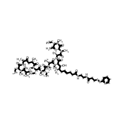 CC[C@H](NC(=O)[C@H]([C@H](O)[C@H](C)C/C=C/CCC(=O)NCCNC(=O)CCSSc1ccccn1)N(C)C(=O)[C@H](C(C)C)N(C)C(=O)[C@H](CC(C)C)N(C)C(=O)[C@H](CC(C)C)N(C)C(=O)[C@@H](C)CC(=O)[C@H](C)NC(=O)[C@H](CC(C)C)N(C)C(=O)C(C)C(C)C)C(=O)N(C)CC(=O)N(C)[C@@H](CC(C)C)C(N)=O